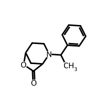 CC(c1ccccc1)N1CCC2CC1C(=O)O2